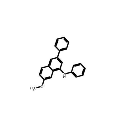 COc1ccc2cc(-c3ccccc3)cc(Nc3ccccc3)c2c1